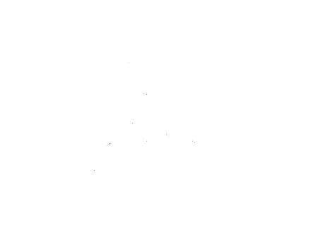 O=CC=CN1CCN(c2nc(OC[C@@H]3CCCNC3)nc3c2CCN(c2cc(O)cc4ccccc24)C3)CC1